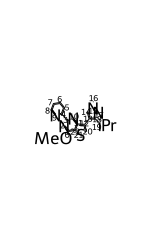 COc1nc(-c2ccccn2)nc2c(-c3cn(C)nc3C(C)C)csc12